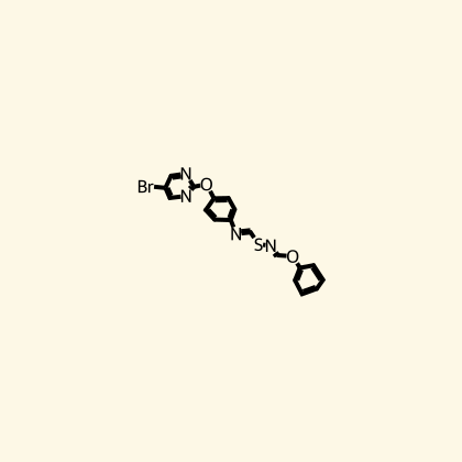 Brc1cnc(Oc2ccc(/N=C/S/N=C/Oc3ccccc3)cc2)nc1